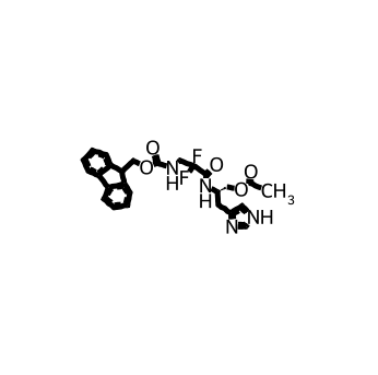 CC(=O)OC[C@H](Cc1c[nH]cn1)NC(=O)C(F)(F)CNC(=O)OCC1c2ccccc2-c2ccccc21